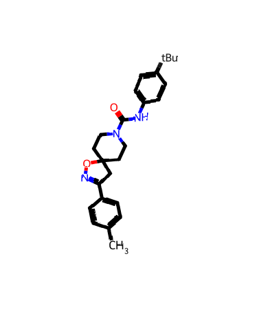 Cc1ccc(C2=NOC3(CCN(C(=O)Nc4ccc(C(C)(C)C)cc4)CC3)C2)cc1